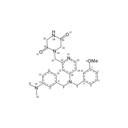 COc1cccc(CN(Cc2cccc(N(C)C)c2)c2ccnc(CN3CC(=O)NCC3=O)c2)c1